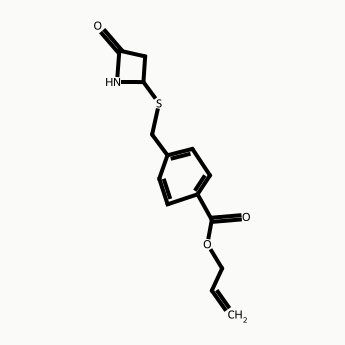 C=CCOC(=O)c1ccc(CSC2CC(=O)N2)cc1